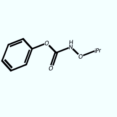 CC(C)ONC(=O)Oc1ccccc1